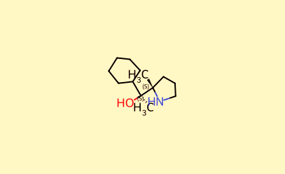 C[C@](O)(C1CCCCC1)[C@]1(C)CCCN1